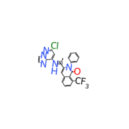 C[C@H](Nc1cc(Cl)nn2ccnc12)c1cc2cccc(C(F)(F)F)c2c(=O)n1-c1ccccc1